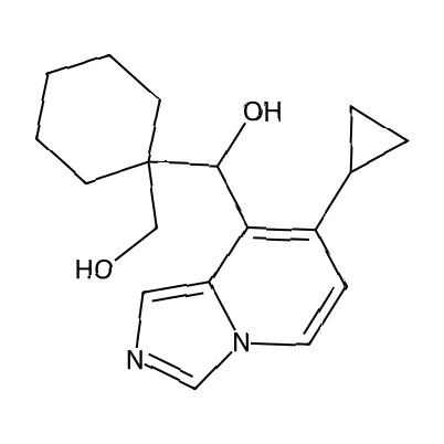 OCC1(C(O)c2c(C3CC3)ccn3cncc23)CCCCC1